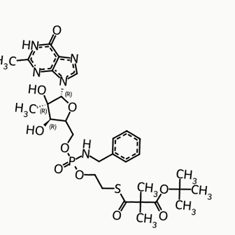 Cc1nc2c(ncn2[C@@H]2OC(COP(=O)(NCc3ccccc3)OCCSC(=O)C(C)(C)C(=O)OC(C)(C)C)[C@@H](O)[C@@]2(C)O)c(=O)[nH]1